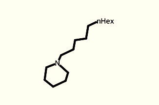 [CH2]CCCCCCCCCCN1CCCCC1